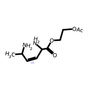 CC(=O)OCCOC(=O)C(N)/C=C\C(C)N